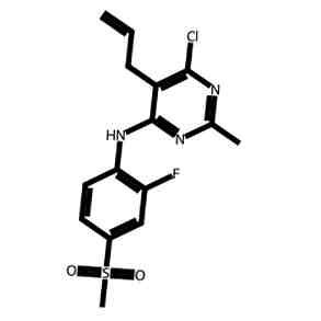 C=CCc1c(Cl)nc(C)nc1Nc1ccc(S(C)(=O)=O)cc1F